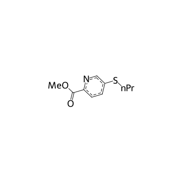 CCCSc1ccc(C(=O)OC)nc1